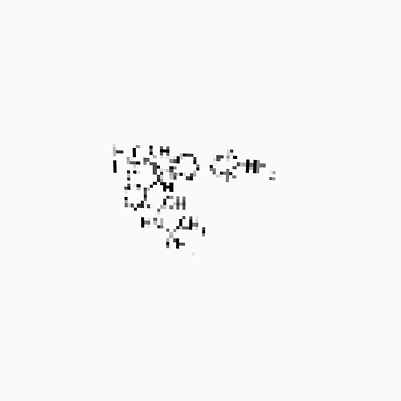 CC(C)NC(O)c1ccccc1-c1nc2cc(-c3cnc(N)nc3)ccc2n1C(C)(C)C